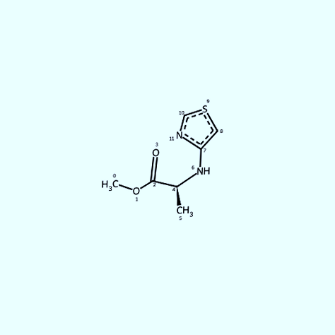 COC(=O)[C@H](C)Nc1cscn1